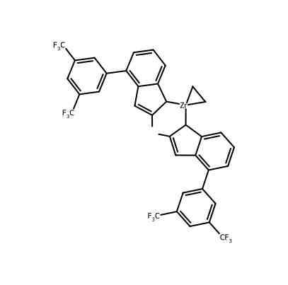 CC1=Cc2c(-c3cc(C(F)(F)F)cc(C(F)(F)F)c3)cccc2[CH]1[Zr]1([CH]2C(C)=Cc3c(-c4cc(C(F)(F)F)cc(C(F)(F)F)c4)cccc32)[CH2][CH2]1